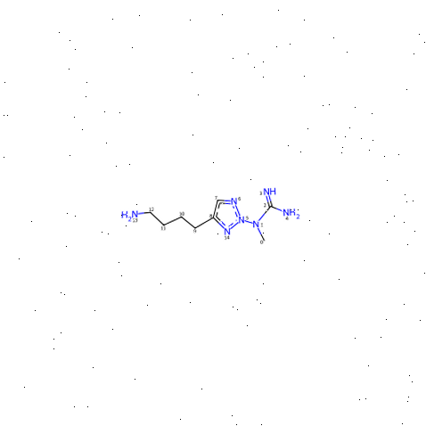 CN(C(=N)N)n1ncc(CCCCN)n1